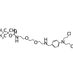 CC(C)(C)OC(=O)NCCOCCOCCNCc1ccc(N(CCCl)CCCl)cc1